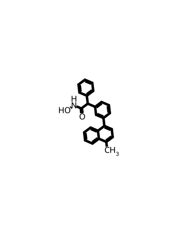 Cc1ccc(-c2cccc(C(C(=O)NO)c3ccccc3)c2)c2ccccc12